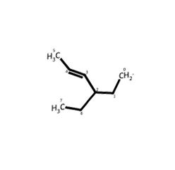 [CH2]CC(C=CC)CC